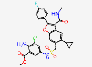 CNC(=O)c1c(-c2ccc(F)cc2)oc2cc(CS(=O)(=O)Nc3cc(Cl)c(N)c(C(=O)OC)c3)c(C3CC3)cc12